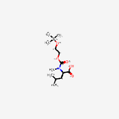 CC(C)CC(C(=O)O)N(C)C(=O)OCCO[Si](C)(C)C